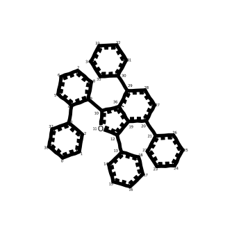 c1ccc(-c2ccccc2-c2oc(-c3ccccc3)c3c(-c4ccccc4)ccc(-c4ccccc4)c23)cc1